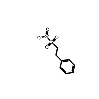 O=[N+]([O-])S(=O)(=O)CCc1ccccc1